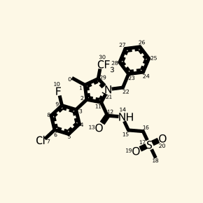 Cc1c(-c2ccc(Cl)cc2F)c(C(=O)NCCS(C)(=O)=O)n(Cc2ccccc2)c1C(F)(F)F